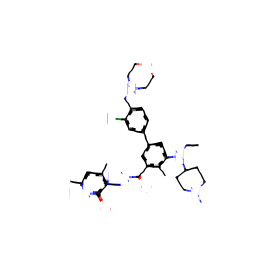 CCN(c1cc(-c2ccc(CN3CCOCC3)c(F)c2)cc(C(=O)NCc2c(C)cc(C)[nH]c2=O)c1C)C1CCN(C)CC1